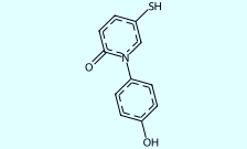 O=c1ccc(S)cn1-c1ccc(O)cc1